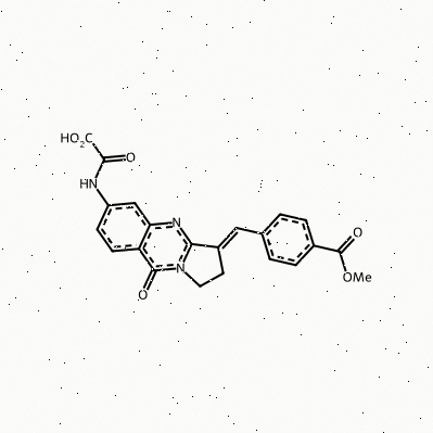 COC(=O)c1ccc(C=C2CCn3c2nc2cc(NC(=O)C(=O)O)ccc2c3=O)cc1